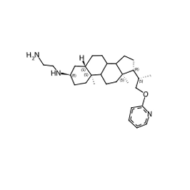 C[C@H](COc1ccccn1)[C@H]1CCC2C3CC[C@H]4C[C@H](NCCN)CC[C@]4(C)C3CC[C@@]21C